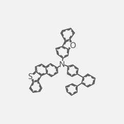 c1ccc(-c2ccccc2-c2ccc(N(c3ccc4c(ccc5sc6ccccc6c54)c3)c3ccc4c(c3)oc3ccccc34)cc2)cc1